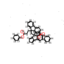 O=C(CCC1(CC2(CCC(=O)Oc3ccccc3)c3ccccc3-c3ccccc32)C2=CCC=C2c2ccccc21)Oc1ccccc1